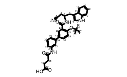 N#CCC(Cc1c[nH]c2ccccc12)NC(=O)c1cc(-c2cccc(NC(=O)CCC(=O)O)c2)ccc1OC(F)(F)F